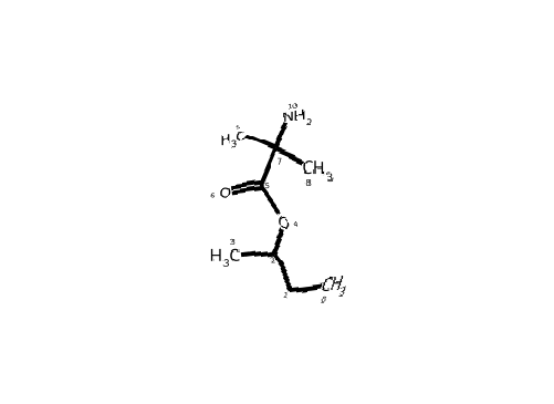 CCC(C)OC(=O)C(C)(C)N